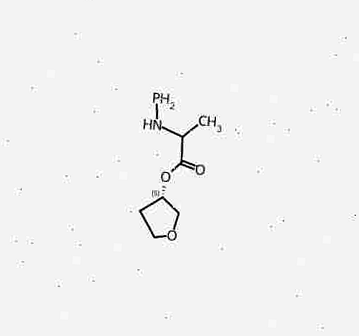 CC(NP)C(=O)O[C@H]1CCOC1